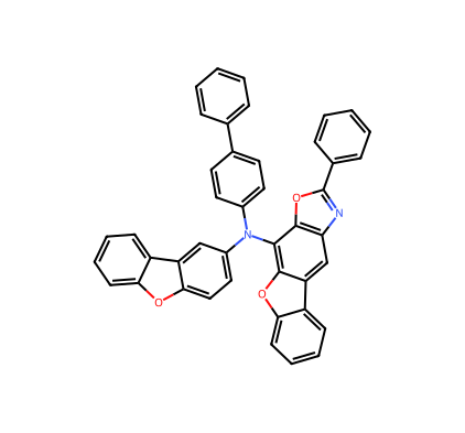 c1ccc(-c2ccc(N(c3ccc4oc5ccccc5c4c3)c3c4oc(-c5ccccc5)nc4cc4c3oc3ccccc34)cc2)cc1